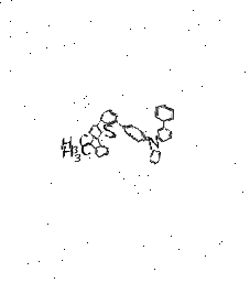 CC1(C)c2ccccc2-c2c1ccc1c2sc2c(-c3ccc(N(c4ccccc4)c4cccc(-c5ccccc5)c4)cc3)cccc21